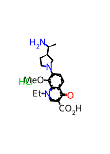 CCn1cc(C(=O)O)c(=O)c2ccc(N3CC[C@@H]([C@H](C)N)C3)c(OC)c21.Cl